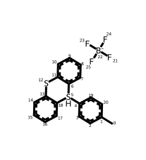 Cc1ccc([SH]2c3ccccc3Sc3ccccc32)cc1.F[B-](F)(F)F